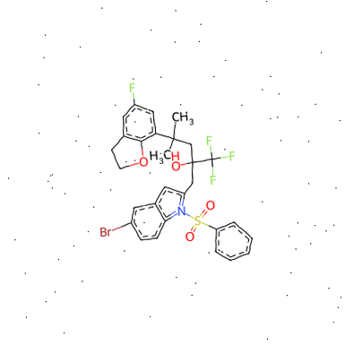 CC(C)(CC(O)(Cc1cc2cc(Br)ccc2n1S(=O)(=O)c1ccccc1)C(F)(F)F)c1cc(F)cc2c1OCC2